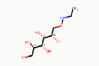 CCNOC[C@H](O)[C@@H](O)[C@H](O)[C@H](O)CO